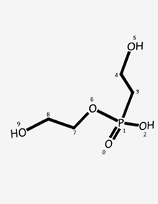 O=P(O)(CCO)OCCO